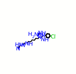 N#CNN=CNCCCCCCN(C(=N)N)C(=N)Nc1ccc(Cl)cc1